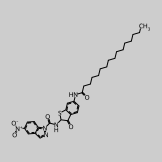 CCCCCCCCCCCCCCCC(=O)Nc1ccc2c(c1)SC(NC(=O)n1ncc3cc([N+](=O)[O-])ccc31)C2=O